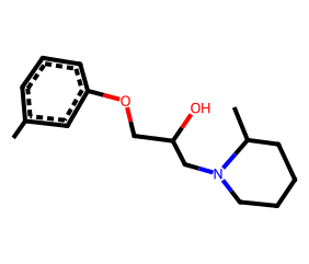 Cc1cccc(OCC(O)CN2CCCCC2C)c1